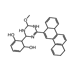 COC1NC(C2=Cc3c(ccc4c3C=CCC4)C3C=CC=CC23)=NC(C2C(O)=CC=CC2O)N1